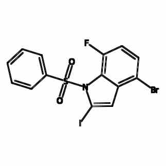 O=S(=O)(c1ccccc1)n1c(I)cc2c(Br)ccc(F)c21